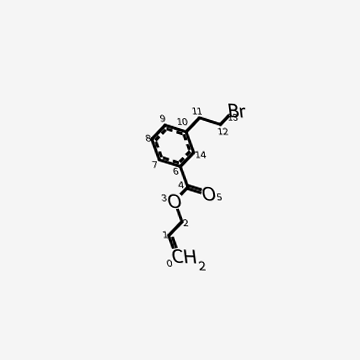 C=CCOC(=O)c1cccc(CCBr)c1